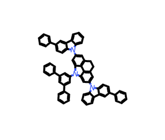 c1ccc(-c2cc(-c3ccccc3)cc(-n3c4cc(-n5c6ccccc6c6cc(-c7ccccc7)ccc65)cc5c4c4c(cc(-n6c7ccccc7c7cc(-c8ccccc8)ccc76)cc43)CC5)c2)cc1